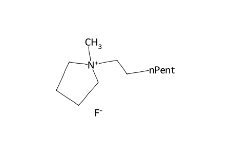 CCCCCCC[N+]1(C)CCCC1.[F-]